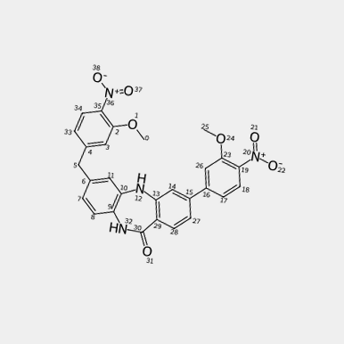 COc1cc(Cc2ccc3c(c2)Nc2cc(-c4ccc([N+](=O)[O-])c(OC)c4)ccc2C(=O)N3)ccc1[N+](=O)[O-]